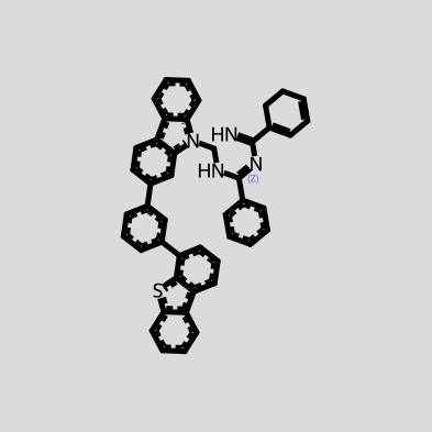 N=C(/N=C(\NCn1c2ccccc2c2ccc(-c3cccc(-c4cccc5c4sc4ccccc45)c3)cc21)c1ccccc1)C1=CC=CCC1